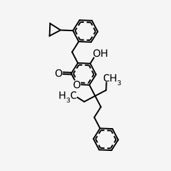 CCC(CC)(CCc1ccccc1)c1cc(O)c(Cc2ccccc2C2CC2)c(=O)o1